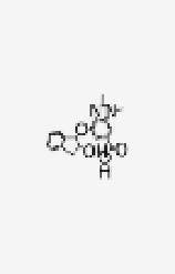 Cc1nc2c(OC3c4ccccc4CC3O)cc(C(=O)O)cc2n1C